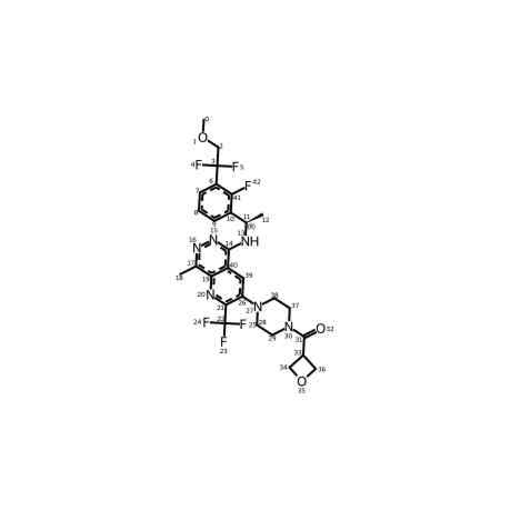 COCC(F)(F)c1cccc([C@@H](C)Nc2nnc(C)c3nc(C(F)(F)F)c(N4CCN(C(=O)C5COC5)CC4)cc23)c1F